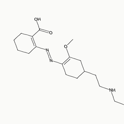 CCNCCC1CCC(N=NC2=C(C(=O)O)CCCC2)=C(OC)C1